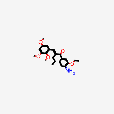 CCC/C(=C\c1cc(OC)cc(OC)c1OC)C(=O)c1ccc(N)c(OCC)c1